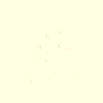 Cc1cc(Cl)ccc1C1c2c(nc(Br)n2C(C)C)NC(=O)N1c1cc(Cl)ccc1C